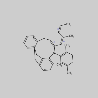 C\C=C/C(C)=C\C1=C\Cc2c3cccc2Cc2c(ccc(C)c2N1C1=C(C)CCC(C)=C1)C3